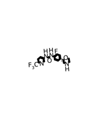 O=C(NC1=CCC(C(F)(F)F)N=C1)Nc1ccc([C@H]2CNCCO2)cc1F